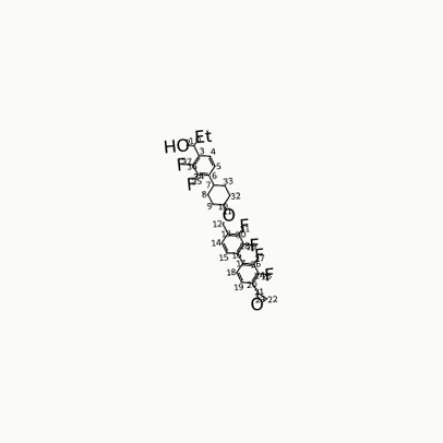 CCC(O)c1ccc(C2CCC(OCc3ccc(-c4ccc(C5CO5)c(F)c4F)c(F)c3F)CC2)c(F)c1F